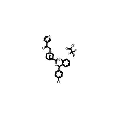 O=C(C[N+]12CCC(CC1)C(C(=O)OC(c1ccc(Cl)cc1)c1ccccc1Cl)C2)c1ccsc1.O=C([O-])C(F)(F)F